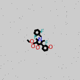 CCOC(=O)c1c(C)n(Cc2c(F)cccc2F)c(C)c(-c2cccc(OC)c2F)c1=O